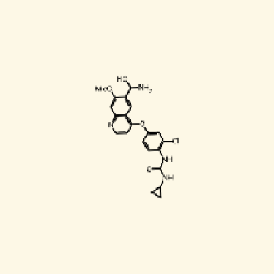 COc1cc2nccc(Oc3ccc(NC(=O)NC4CC4)c(Cl)c3)c2cc1C(N)O